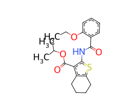 CCOc1ccccc1C(=O)Nc1sc2c(c1C(=O)OC(C)C)CCCC2